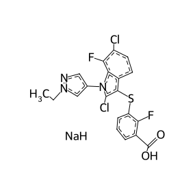 CCn1cc(-n2c(Cl)c(Sc3cccc(C(=O)O)c3F)c3ccc(Cl)c(F)c32)cn1.[NaH]